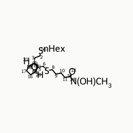 CCCCCCSCC[C@H]1[C@@H](CSCCCCC(=O)N(C)O)[C@H]2CC[C@@H]1O2